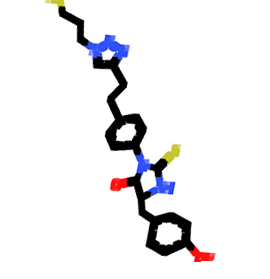 O=C1C(Cc2ccc(O)cc2)NC(=S)N1c1ccc(CCc2cn(CCCS)nn2)cc1